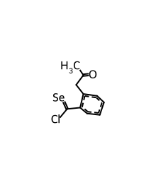 CC(=O)Cc1ccccc1C(Cl)=[Se]